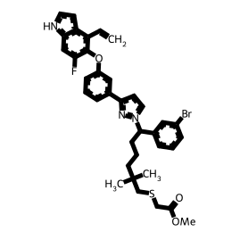 C=Cc1c(Oc2cccc(-c3ccn(C(CCCC(C)(C)CSCC(=O)OC)c4cccc(Br)c4)n3)c2)c(F)cc2[nH]ccc12